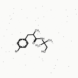 CC(Cc1ccc(Br)cc1)C(=O)NC(C)(C)CO